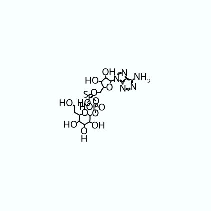 Nc1ncnc2c1ncn2C1OC(COP(O)(=S)OP(=O)(O)OC2OC(CCO)C(O)C(O)C2O)C(O)C1O